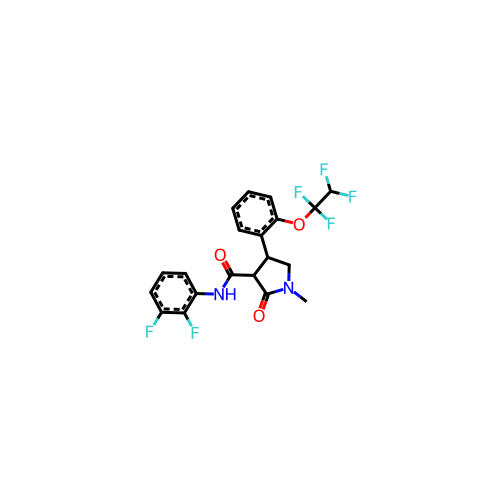 CN1CC(c2ccccc2OC(F)(F)C(F)F)C(C(=O)Nc2cccc(F)c2F)C1=O